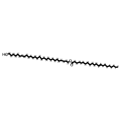 CCCCCCCCC=CCCCCCCCCCCCC(=O)OCCCCCCCCCCCCCCCCCCCCCCCCCCCCO